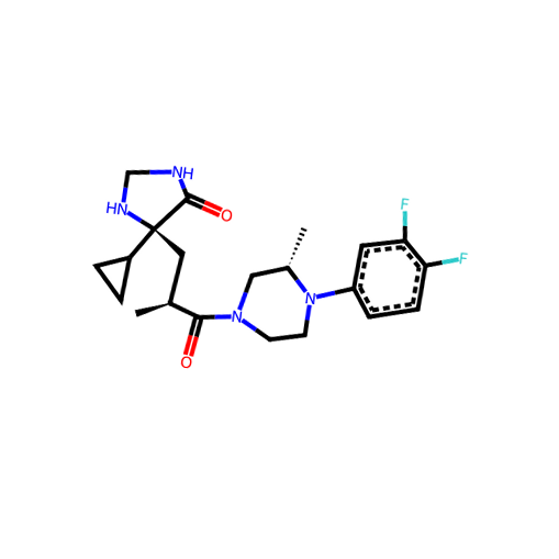 C[C@@H](C[C@@]1(C2CC2)NCNC1=O)C(=O)N1CCN(c2ccc(F)c(F)c2)[C@@H](C)C1